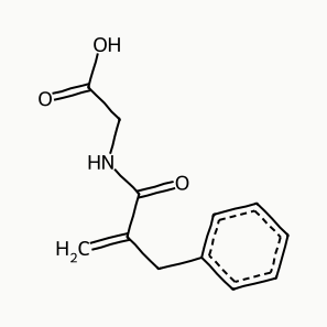 C=C(Cc1ccccc1)C(=O)NCC(=O)O